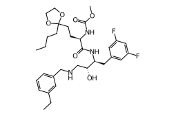 CCCCC1(CC[C@@H](NC(=O)OC)C(=O)N[C@@H](Cc2cc(F)cc(F)c2)[C@H](O)CNCc2cccc(CC)c2)OCCO1